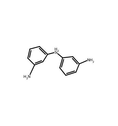 Nc1cccc([SiH2]c2cccc(N)c2)c1